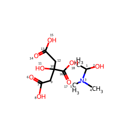 CC(O)N(C)C.O=C(O)CC(O)(CC(=O)O)C(=O)O